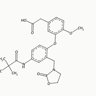 COc1ccc(CC(=O)O)cc1Oc1ccc(NC(=O)C(C)(C)C)cc1CN1CCOC1=O